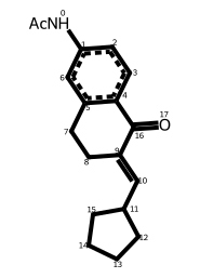 CC(=O)Nc1ccc2c(c1)CCC(=CC1CCCC1)C2=O